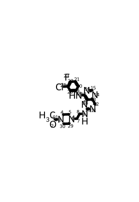 CC(=O)N1CCN(CCNc2ncc3ncnc(Nc4ccc(F)c(Cl)c4)c3n2)CC1